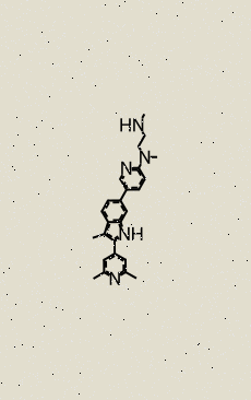 CNCCN(C)c1ccc(-c2ccc3c(C)c(-c4cc(C)nc(C)c4)[nH]c3c2)cn1